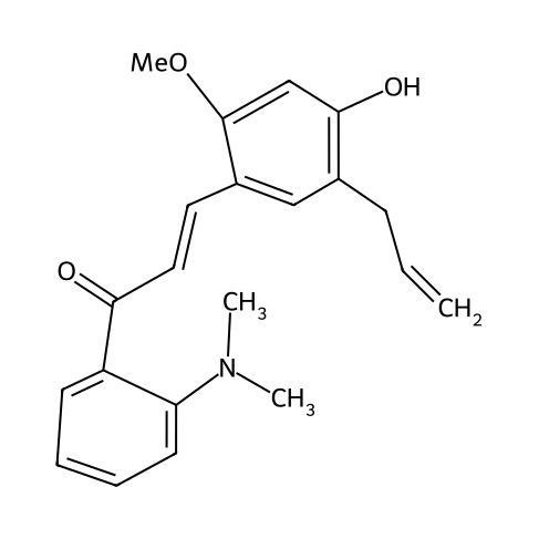 C=CCc1cc(/C=C/C(=O)c2ccccc2N(C)C)c(OC)cc1O